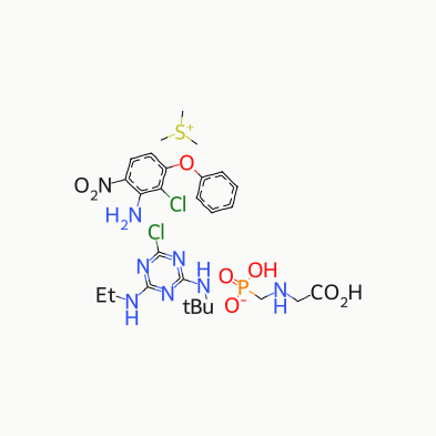 CCNc1nc(Cl)nc(NC(C)(C)C)n1.C[S+](C)C.Nc1c([N+](=O)[O-])ccc(Oc2ccccc2)c1Cl.O=C(O)CNCP(=O)([O-])O